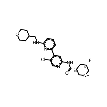 O=C(Nc1cc(-c2cccc(NCC3CCOCC3)n2)c(Cl)cn1)[C@H]1CNC[C@@H](F)C1